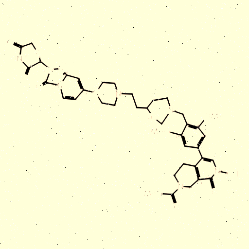 CNC(=O)N1CCc2c(-c3cc(OC)c(CN4CCC(CCN5CCN(c6ccn7c(=O)n(C8CCC(=O)NC8=O)nc7c6)CC5)CC4)c(OC)c3)cn(C)c(=O)c2C1